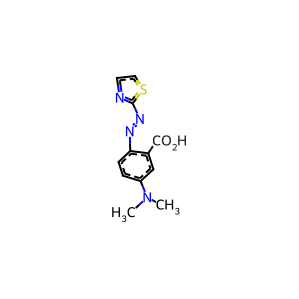 CN(C)c1ccc(N=Nc2nccs2)c(C(=O)O)c1